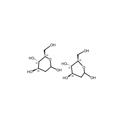 OC[C@H]1OC(O)C[C@@H](O)[C@@H]1O.OC[C@H]1OC(O)C[C@@H](O)[C@@H]1O